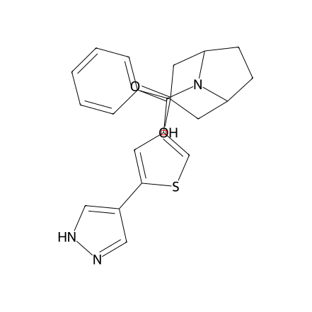 O=C(c1csc(-c2cn[nH]c2)c1)N1C2CCC1CC(O)(c1ccccc1)C2